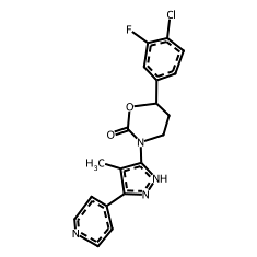 Cc1c(-c2ccncc2)n[nH]c1N1CCC(c2ccc(Cl)c(F)c2)OC1=O